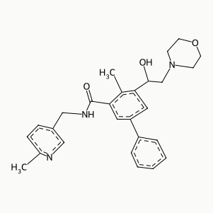 Cc1ccc(CNC(=O)c2cc(-c3ccccc3)cc(C(O)CN3CCOCC3)c2C)cn1